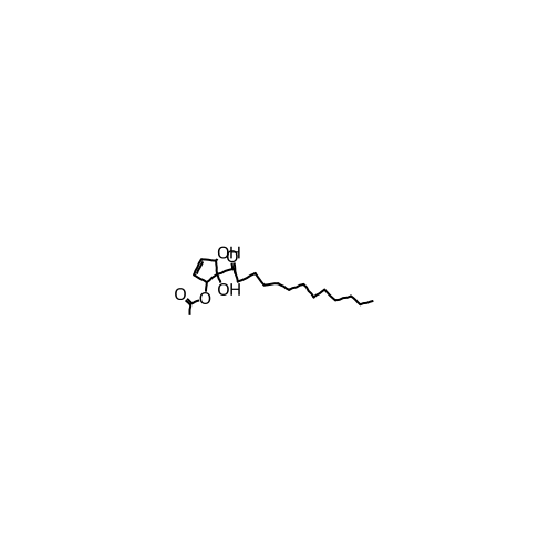 CCCCCCCCCCCCC(=O)C1(O)C(O)C=CC1OC(C)=O